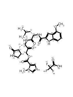 COc1cccc2[nH]c(C(=O)N[C@@H](CC(C)C)C(=O)N[C@@H](C[C@@H]3CCNC3=O)C(=O)COC(=O)c3cncn3C)cc12.O=C(O)C(F)(F)F